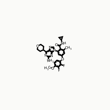 COc1ccc(Oc2cc(C)c(C(=O)NC3CC3)c(-n3cnc4c(C5CCOCC5)nc(N)nc43)c2)c(F)c1F